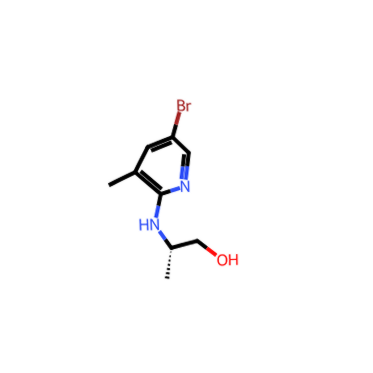 Cc1cc(Br)cnc1N[C@@H](C)CO